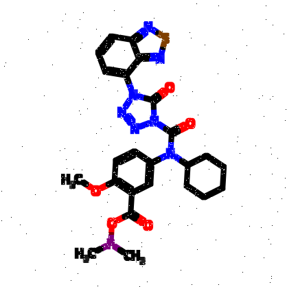 COc1ccc(N(C(=O)n2nnn(-c3cccc4nsnc34)c2=O)C2CCCCC2)cc1C(=O)OP(C)C